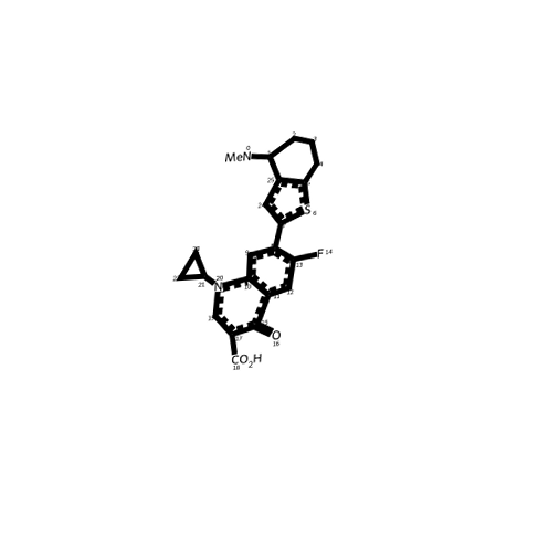 CNC1CCCc2sc(-c3cc4c(cc3F)c(=O)c(C(=O)O)cn4C3CC3)cc21